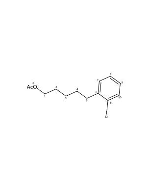 CC(=O)OCCCCCc1ccccc1I